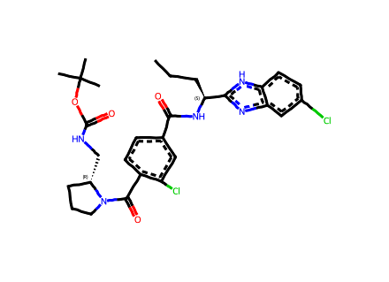 CCC[C@H](NC(=O)c1ccc(C(=O)N2CCC[C@@H]2CNC(=O)OC(C)(C)C)c(Cl)c1)c1nc2cc(Cl)ccc2[nH]1